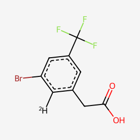 [2H]c1c(Br)cc(C(F)(F)F)cc1CC(=O)O